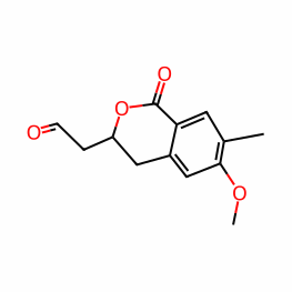 COc1cc2c(cc1C)C(=O)OC(CC=O)C2